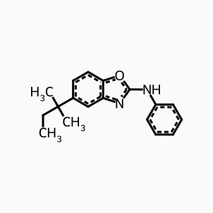 CCC(C)(C)c1ccc2oc(Nc3ccccc3)nc2c1